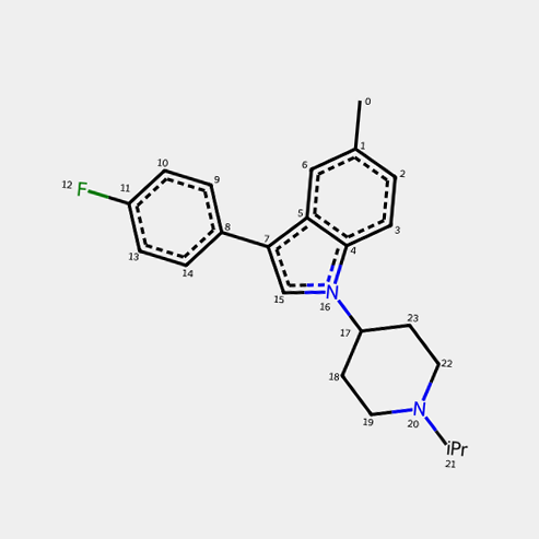 Cc1ccc2c(c1)c(-c1ccc(F)cc1)cn2C1CCN(C(C)C)CC1